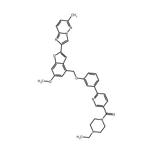 CCN1CCN(C(=O)c2ccc(-c3cccc(OCc4cc(OC)cc5oc(-c6cn7nc(C)ccc7n6)cc45)c3)nc2)CC1